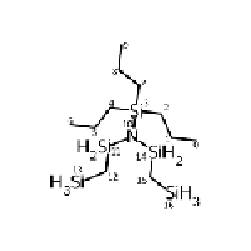 CCC[Si](CCC)(CCC)N([SiH2]C[SiH3])[SiH2]C[SiH3]